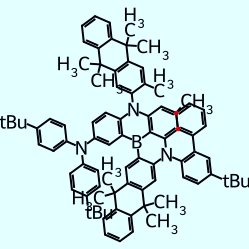 Cc1cc2c3c(c1)N(c1ccc(C(C)(C)C)cc1-c1ccccc1)c1cc4c(cc1B3c1cc(N(c3ccc(C(C)(C)C)cc3)c3ccc(C(C)(C)C)cc3)ccc1N2c1cc2c(cc1C)C(C)(C)c1ccccc1C2(C)C)C(C)(C)c1ccccc1C4(C)C